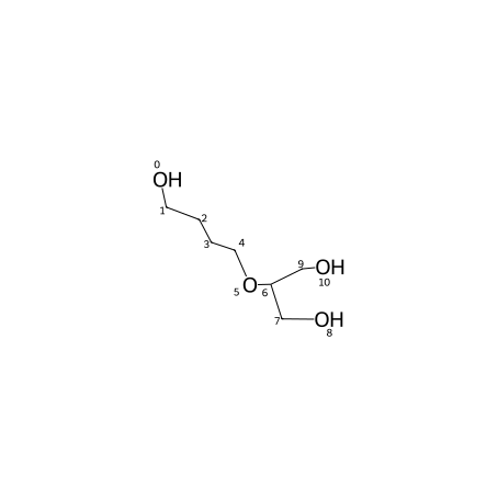 OCCCCOC(CO)CO